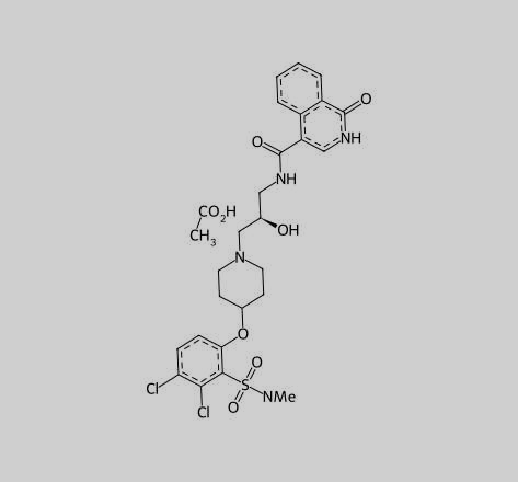 CC(=O)O.CNS(=O)(=O)c1c(OC2CCN(C[C@H](O)CNC(=O)c3c[nH]c(=O)c4ccccc34)CC2)ccc(Cl)c1Cl